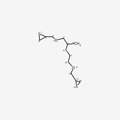 CC(COCC1CS1)SCCOCC1CS1